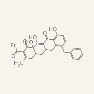 CCC(=O)C1=C(C)CC2CC3Cc4c(Cc5ccccc5)ccc(O)c4C(=O)C3=C(O)C2(O)C1=O